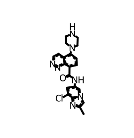 Cc1cn2cc(NC(=O)c3ccc(N4CCNCC4)c4ccnnc34)cc(Cl)c2n1